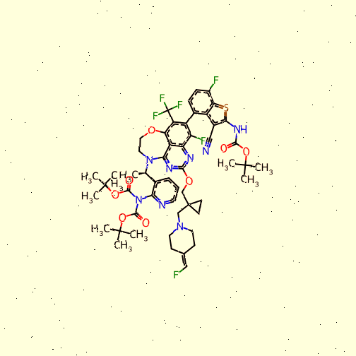 C[C@H](c1cccnc1N(C(=O)OC(C)(C)C)C(=O)OC(C)(C)C)N1CCOc2c(C(F)(F)F)c(-c3ccc(F)c4sc(NC(=O)OC(C)(C)C)c(C#N)c34)c(F)c3nc(OCC4(CN5CCC(=CF)CC5)CC4)nc1c23